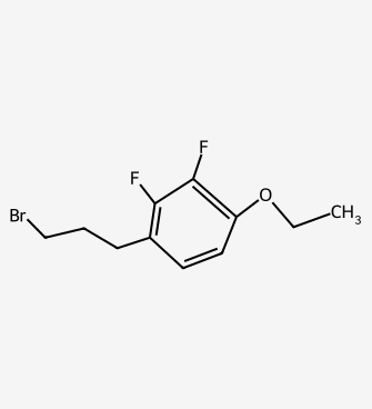 CCOc1ccc(CCCBr)c(F)c1F